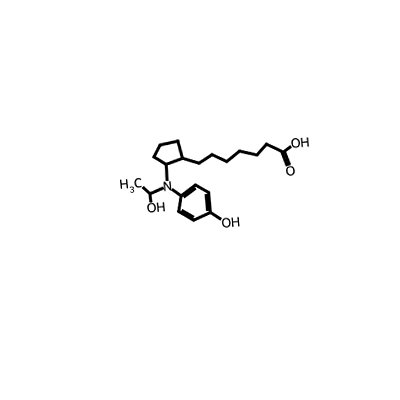 CC(O)N(c1ccc(O)cc1)C1CCCC1CCCCCCC(=O)O